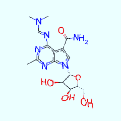 Cc1nc(/N=C/N(C)C)c2c(C(N)=O)cn([C@@H]3O[C@H](CO)[C@@H](O)[C@H]3O)c2n1